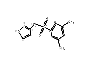 Cc1cc(N)cc(S(=O)(=O)Nc2ccon2)c1